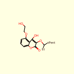 CCCCCC(CC)Oc1c(O)c2c(OCCO)cccc2oc1=O